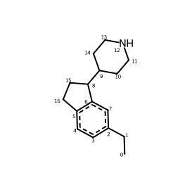 CCc1ccc2c(c1)C(C1CCNCC1)CC2